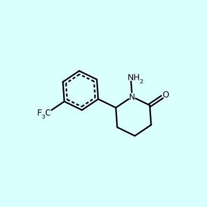 NN1C(=O)CCCC1c1cccc(C(F)(F)F)c1